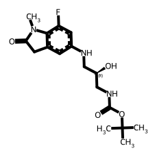 CN1C(=O)Cc2cc(NC[C@@H](O)CNC(=O)OC(C)(C)C)cc(F)c21